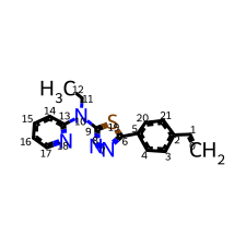 C=Cc1ccc(-c2nnc(N(CC)c3ccccn3)s2)cc1